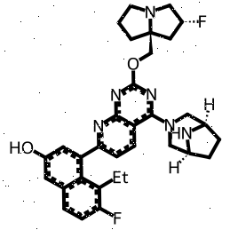 CCc1c(F)ccc2cc(O)cc(-c3ccc4c(N5C[C@H]6CC[C@@H](C5)N6)nc(OC[C@@]56CCCN5C[C@H](F)C6)nc4n3)c12